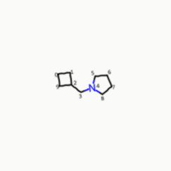 C1CC(CN2CCCC2)C1